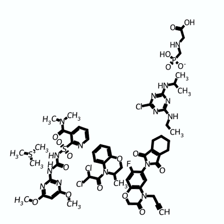 C#CCN1C(=O)COc2cc(F)c(N3C(=O)C4=C(CCCC4)C3=O)cc21.CC1COc2ccccc2N1C(=O)C(Cl)Cl.CCNc1nc(Cl)nc(NC(C)C)n1.COc1cc(OC)nc(NC(=O)NS(=O)(=O)c2ncccc2C(=O)N(C)C)n1.C[S+](C)C.O=C(O)CNCP(=O)([O-])O